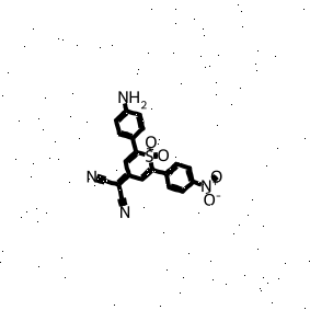 N#CC(C#N)=C1C=C(c2ccc(N)cc2)S(=O)(=O)C(c2ccc([N+](=O)[O-])cc2)=C1